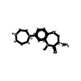 CN1C(=O)[C@@H](N)COc2ccc(N3CCCOCC3)cc21